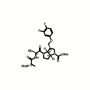 CN[C@@H](C)C(=O)N[C@H](C(=O)N1CC[C@@H]2[C@H]1[C@@H](COc1ccc(F)c(F)c1)CN2C(=O)OC)C(C)(C)C